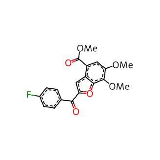 COC(=O)c1cc(OC)c(OC)c2oc(C(=O)c3ccc(F)cc3)cc12